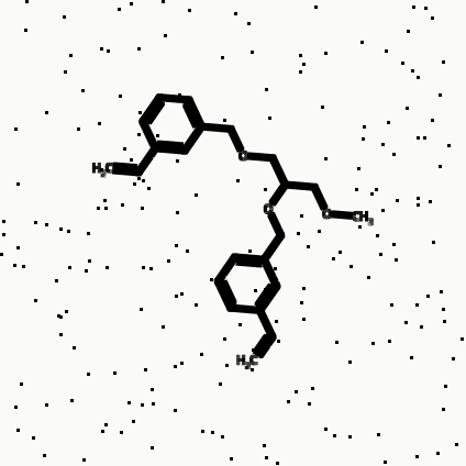 C=Cc1cccc(COCC(COC)OCc2cccc(C=C)c2)c1